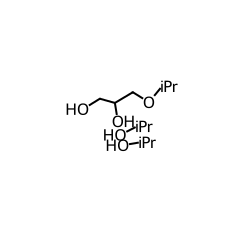 CC(C)O.CC(C)O.CC(C)OCC(O)CO